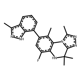 Cc1c(-c2cccc3c(C)n[nH]c23)cc(F)c2c1-n1c(C)nnc1C(C)(C)N2